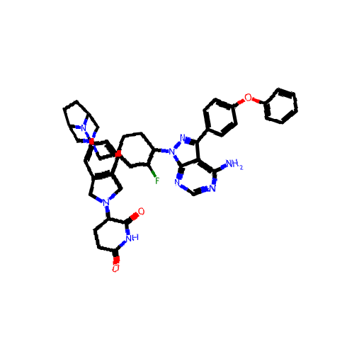 Nc1ncnc2c1c(-c1ccc(Oc3ccccc3)cc1)nn2C1CCC(CN2CC3CCC(C2)N3c2ccc3c(c2)CN(C2CCC(=O)NC2=O)C3)CC1F